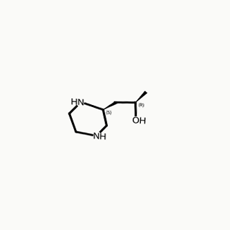 C[C@@H](O)C[C@H]1CNCCN1